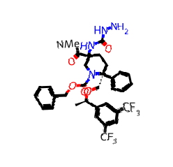 CNC(=O)C1(NC(=O)NN)CC[C@@](CO[C@H](C)c2cc(C(F)(F)F)cc(C(F)(F)F)c2)(c2ccccc2)N(C(=O)OCc2ccccc2)C1